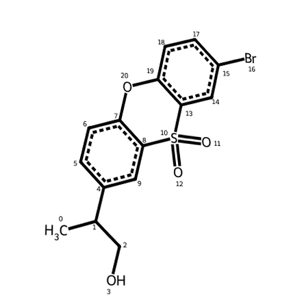 CC(CO)c1ccc2c(c1)S(=O)(=O)c1cc(Br)ccc1O2